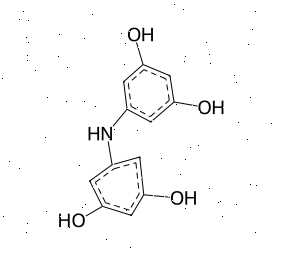 Oc1cc(O)cc(Nc2cc(O)cc(O)c2)c1